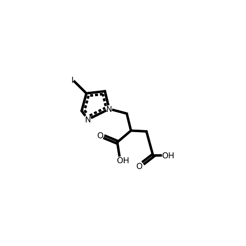 O=C(O)CC(Cn1cc(I)cn1)C(=O)O